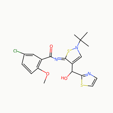 COc1ccc(Cl)cc1C(=O)/N=c1\sn(C(C)(C)C)cc1C(O)c1nccs1